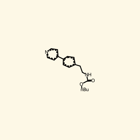 CCCCOC(=O)NCCc1ccc(-c2ccncc2)cc1